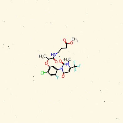 COC(=O)CCCNC(=O)C(C)Oc1cc(-n2c(=O)cc(C(F)(F)F)n(C)c2=O)c(F)cc1Cl